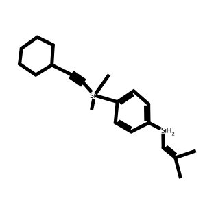 CC(C)=C[SiH2]c1ccc([Si](C)(C)C#CC2CCCCC2)cc1